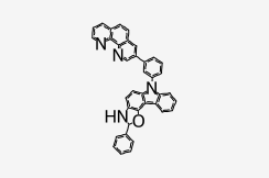 c1ccc(C2Nc3ccc4c(c3O2)c2ccccc2n4-c2cccc(-c3cnc4c(ccc5cccnc54)c3)c2)cc1